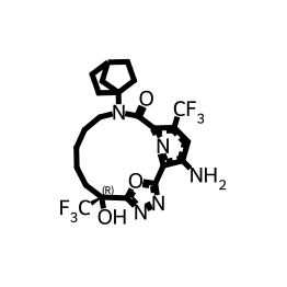 Nc1cc(C(F)(F)F)c2nc1-c1nnc(o1)[C@@](O)(C(F)(F)F)CCCCCN(C13CCC(CC1)C3)C2=O